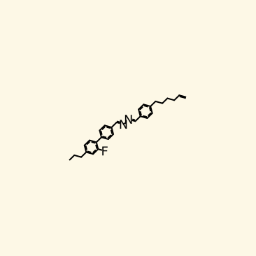 C=CCCCCc1ccc(C=NN=Cc2ccc(-c3ccc(CCC)cc3F)cc2)cc1